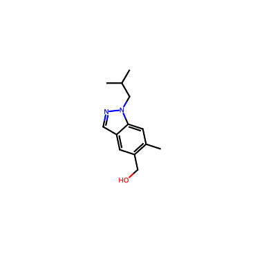 Cc1cc2c(cnn2CC(C)C)cc1CO